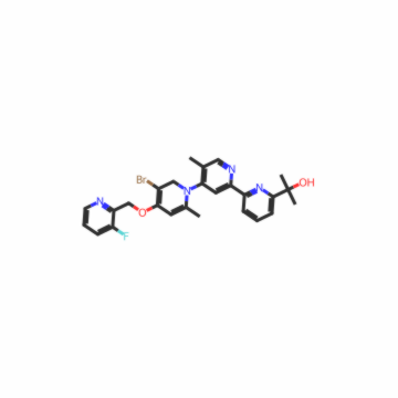 CC1=CC(OCc2ncccc2F)=C(Br)CN1c1cc(-c2cccc(C(C)(C)O)n2)ncc1C